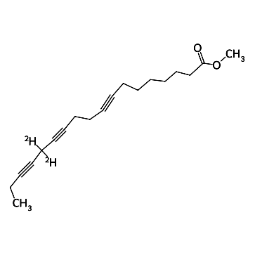 [2H]C([2H])(C#CCC)C#CCCC#CCCCCCCC(=O)OC